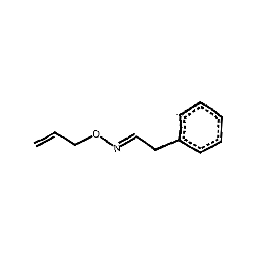 C=CCON=CCc1[c]cccc1